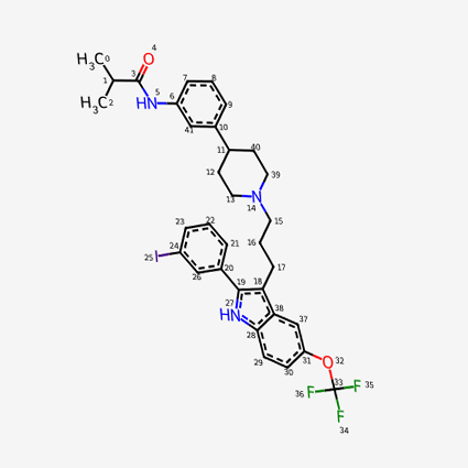 CC(C)C(=O)Nc1cccc(C2CCN(CCCc3c(-c4cccc(I)c4)[nH]c4ccc(OC(F)(F)F)cc34)CC2)c1